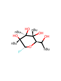 CCCCC(O)[C@H]1O[C@H](F)[C@@](O)(CCCC)[C@](O)(CCCC)[C@@]1(O)CCCC